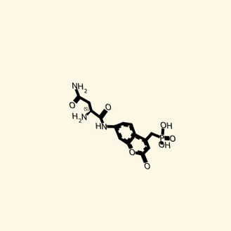 NC(=O)C[C@H](N)C(=O)Nc1ccc2c(CP(=O)(O)O)cc(=O)oc2c1